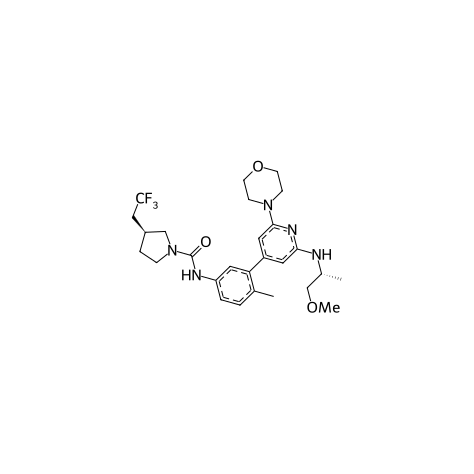 COC[C@@H](C)Nc1cc(-c2cc(NC(=O)N3CC[C@@H](CC(F)(F)F)C3)ccc2C)cc(N2CCOCC2)n1